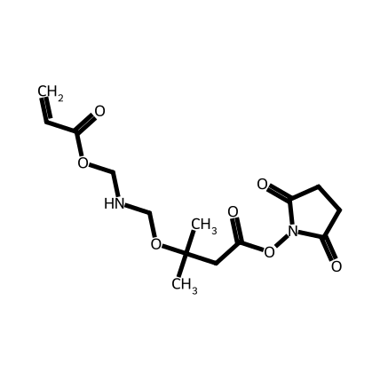 C=CC(=O)OCNCOC(C)(C)CC(=O)ON1C(=O)CCC1=O